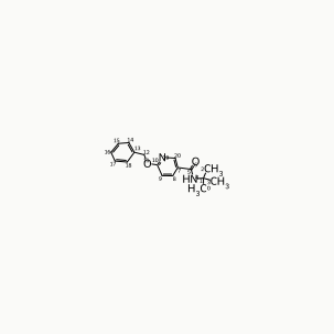 CC(C)(C)NC(=O)c1ccc(OCc2ccccc2)nc1